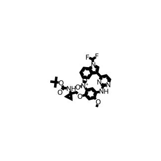 COc1cc(OCC2(NC(=O)OC(C)(C)C)CC2)c([N+](=O)[O-])cc1Nc1nccc(-c2cn(C(F)F)c3ccccc23)n1